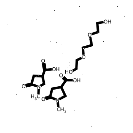 CN1CC(C(=O)O)CC1=O.CN1CC(C(=O)O)CC1=O.OCCOCCOCCO